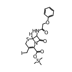 C[Si](C)(C)OC(=O)C1=C(CI)CS[C@@H]2C(NC(=O)COc3ccccc3)C(=O)N12